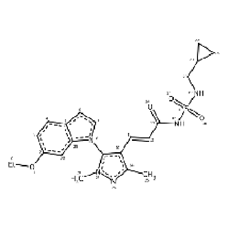 CCOc1ccc2ccn(-c3c(/C=C/C(=O)NS(=O)(=O)NCC4CC4)c(C)nn3C)c2c1